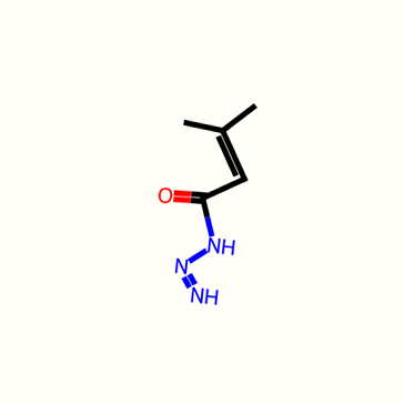 CC(C)=CC(=O)NN=N